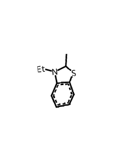 CCN1c2ccccc2SC1C